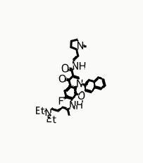 CCN(CC)CCCC(C)Nc1c(F)cc2c(=O)c(C(=O)NCCC3CCCN3C)cn3c2c1Oc1cc2ccccc2cc1-3